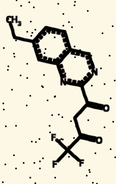 CCc1ccc2cnc(C(=O)CC(=O)C(F)(F)F)nc2c1